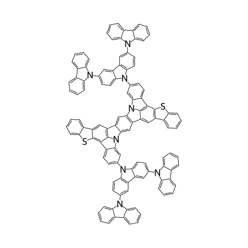 c1ccc2c(c1)sc1c2cc2c3cc4c(cc3n3c5cc(-n6c7ccc(-n8c9ccccc9c9ccccc98)cc7c7cc(-n8c9ccccc9c9ccccc98)ccc76)ccc5c1c23)c1cc2c3ccccc3sc2c2c3ccc(-n5c6ccc(-n7c8ccccc8c8ccccc87)cc6c6cc(-n7c8ccccc8c8ccccc87)ccc65)cc3n4c12